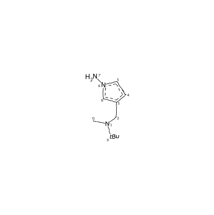 CN(Cc1ccn(N)c1)C(C)(C)C